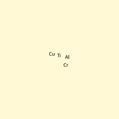 [Al].[Cr].[Cu].[Ti]